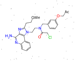 COCCc1nc2c(N)nc3ccccc3c2n1CCN(Cc1cccc(OCC(C)=O)c1)C(=O)CCl